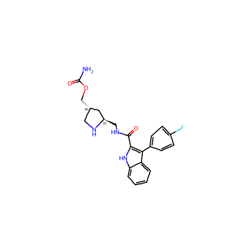 NC(=O)OC[C@H]1CN[C@H](CNC(=O)c2[nH]c3ccccc3c2-c2ccc(F)cc2)C1